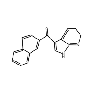 O=C(c1ccc2ccccc2c1)c1c[nH]c2c1=CCCN=2